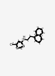 Clc1cc(NCCc2cccc3ccccc23)ncn1